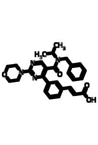 CC(C)N(Cc1ccccc1)C(=O)c1cnc(N2CCOCC2)nc1-c1cccc(/C=C/C(=O)O)c1